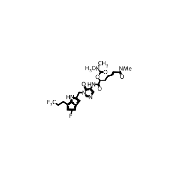 CNC(=O)/C=C/CC[C@H](OC(=O)N(C)C)C(=O)Nc1cncn(Cc2cc3cc(F)cc(CCC(F)(F)F)c3[nH]2)c1=O